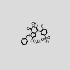 CCOC(=O)c1cc2c(-c3cc(S(=O)(=O)CC)ccc3F)cn(C)c(=O)c2n1Cc1ccccc1